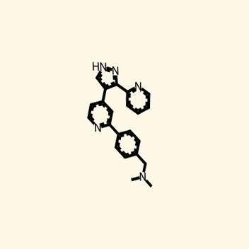 CN(C)Cc1ccc(-c2cc(-c3c[nH]nc3-c3ccccn3)ccn2)cc1